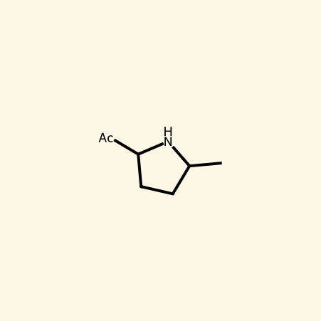 CC(=O)C1CCC(C)N1